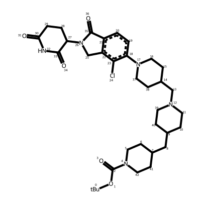 CC(C)(C)OC(=O)N1CCC(CC2CCN(CC3CCN(c4ccc5c(c4Cl)CN(C4CCC(=O)NC4=O)C5=O)CC3)CC2)CC1